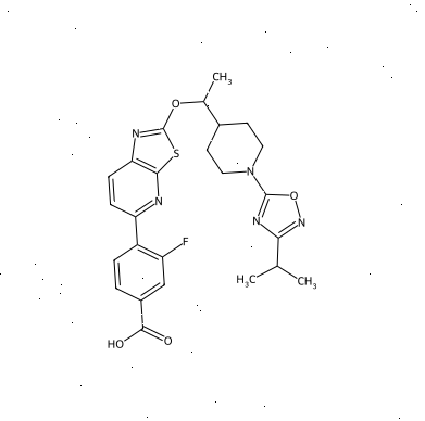 CC(C)c1noc(N2CCC(C(C)Oc3nc4ccc(-c5ccc(C(=O)O)cc5F)nc4s3)CC2)n1